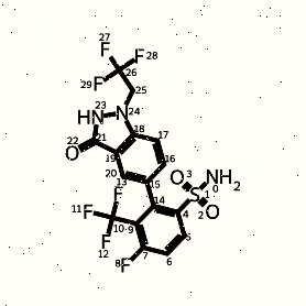 NS(=O)(=O)c1ccc(F)c(C(F)(F)F)c1-c1ccc2c(c1)c(=O)[nH]n2CC(F)(F)F